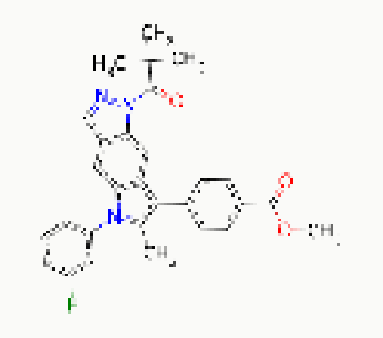 COC(=O)c1ccc(-c2c(C)n(-c3cccc(F)c3)c3cc4cnn(C(=O)C(C)(C)C)c4cc23)cc1